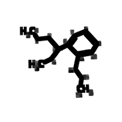 CCC[C](CC)c1ccccc1CCC